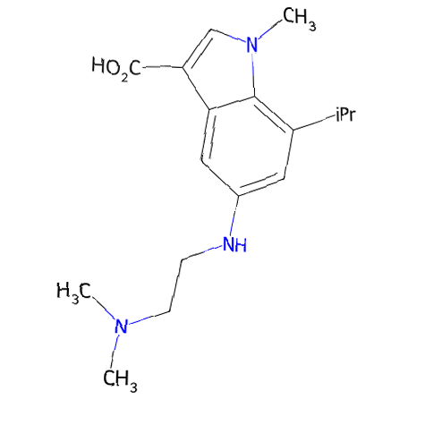 CC(C)c1cc(NCCN(C)C)cc2c(C(=O)O)cn(C)c12